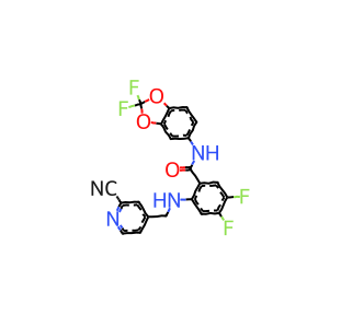 N#Cc1cc(CNc2cc(F)c(F)cc2C(=O)Nc2ccc3c(c2)OC(F)(F)O3)ccn1